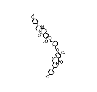 COc1ccc(C2=CCN3C(=O)c4cc(OC)c(OCc5cccc(COc6cc7c(cc6OC)C(=O)N6CC=C(c8ccc(OC)cc8)C[C@H]6C=N7)n5)cc4N=CC3C2)cc1